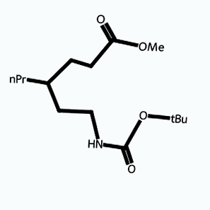 CCCC(CCNC(=O)OC(C)(C)C)CCC(=O)OC